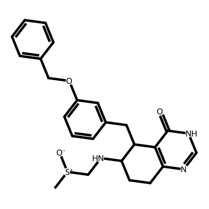 C[S+]([O-])CNC1CCc2nc[nH]c(=O)c2C1Cc1cccc(OCc2ccccc2)c1